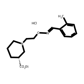 CCOC(=O)[C@@H]1CCCN(CCON=Cc2ccccc2C)C1.Cl